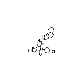 O=c1c2c[nH]nc2c2cnc(NC[C@H]3COc4ccccc4O3)nc2n1-c1ccc(Cl)cc1